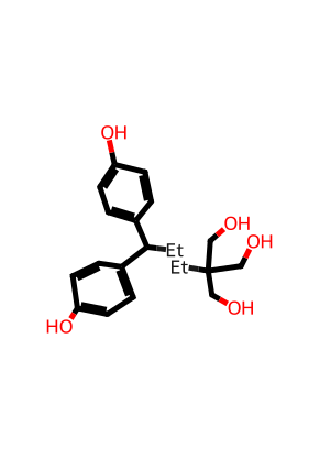 CCC(CO)(CO)CO.CCC(c1ccc(O)cc1)c1ccc(O)cc1